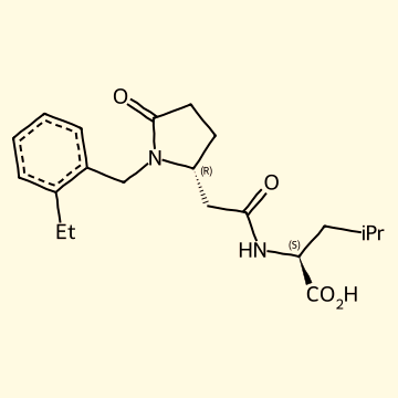 CCc1ccccc1CN1C(=O)CC[C@@H]1CC(=O)N[C@@H](CC(C)C)C(=O)O